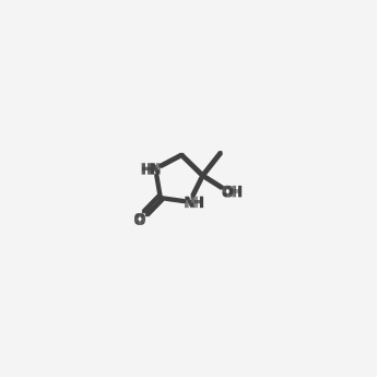 CC1(O)CNC(=O)N1